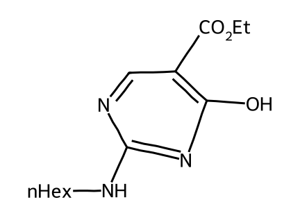 CCCCCCNc1ncc(C(=O)OCC)c(O)n1